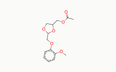 COc1ccccc1OCC1OCC(COC(C)=O)O1